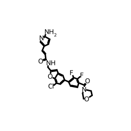 Nc1ccc(C=CC(=O)NCc2cc3cc(-c4ccc(C(=O)N5CCOCC5)c(F)c4F)cc(Cl)c3o2)cn1